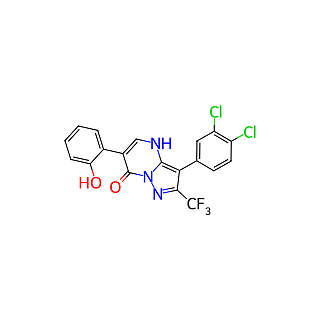 O=c1c(-c2ccccc2O)c[nH]c2c(-c3ccc(Cl)c(Cl)c3)c(C(F)(F)F)nn12